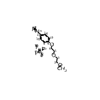 COCCOCCOc1ccc([N+]#N)cc1.F[B-](F)(F)F